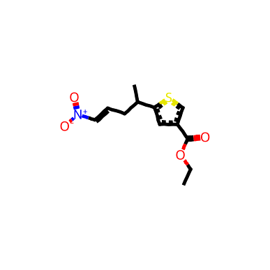 CCOC(=O)c1csc(C(C)CC=C[N+](=O)[O-])c1